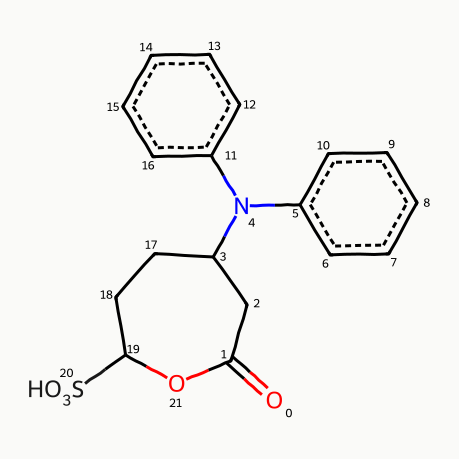 O=C1CC(N(c2ccccc2)c2ccccc2)CCC(S(=O)(=O)O)O1